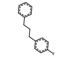 Fc1ccc([CH]CCc2ccccc2)cc1